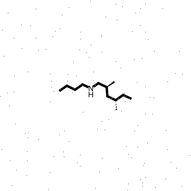 CCCCNC[C@@H](C)C[C@@H](C)CC